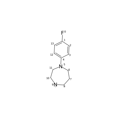 Fc1ccc(N2CCC[N]CC2)cc1